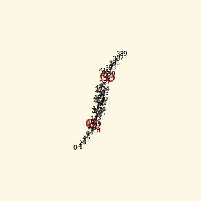 CCCCCCCC[C@@H]1CO[C@@H](CCC2CCC(c3ccc(C4CCC(CC[C@@H]5OC[C@@H](CCCCCCCC)[C@H](C)O5)CC4)cc3)CC2)O[C@H]1C